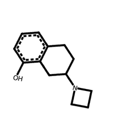 Oc1cccc2c1CC(N1CCC1)CC2